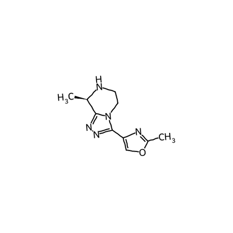 Cc1nc(-c2nnc3n2CCN[C@@H]3C)co1